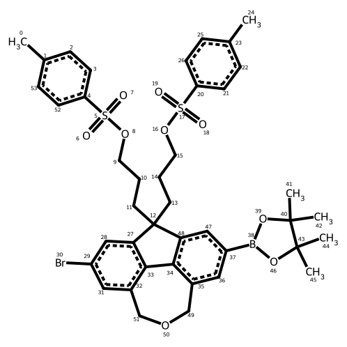 Cc1ccc(S(=O)(=O)OCCCC2(CCCOS(=O)(=O)c3ccc(C)cc3)c3cc(Br)cc4c3-c3c(cc(B5OC(C)(C)C(C)(C)O5)cc32)COC4)cc1